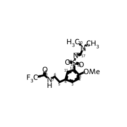 COc1ccc(CCNC(=O)C(F)(F)F)cc1S(=O)(=O)N=CN(C)C